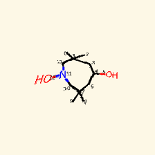 CC1(C)CC(O)CC(C)(C)CN(O)C1